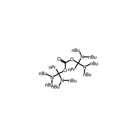 CCCCN(CCCC)C(CCC)(OC(=O)OC(CCC)(N(CCCC)CCCC)N(CCCC)CCCC)N(CCCC)CCCC